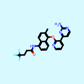 Cc1ccc2c(NC(=O)CCC(F)(F)F)cccc2c1Oc1ncccc1-c1ccnc(N)n1